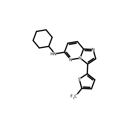 FC(F)(F)c1ccc(-c2cnc3ccc(NC4CCCCC4)nn23)s1